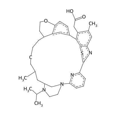 Cc1cc2nc3sc2c(c1CC(=O)O)-c1ccc2c(c1)C(CCCCC(C)CC1CN(CCN1C(C)C)c1cccc-3n1)CCO2